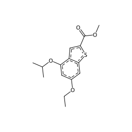 CCOc1cc(OC(C)C)c2cc(C(=O)OC)sc2c1